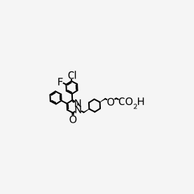 O=C(O)COC[C@H]1CC[C@@H](Cn2nc(-c3ccc(Cl)c(F)c3)c(-c3ccccc3)cc2=O)CC1